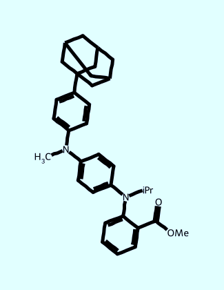 COC(=O)c1ccccc1N(c1ccc(N(C)c2ccc(C34CC5CC(CC(C5)C3)C4)cc2)cc1)C(C)C